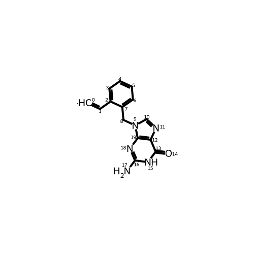 [CH]=Cc1ccccc1Cn1cnc2c(=O)[nH]c(N)nc21